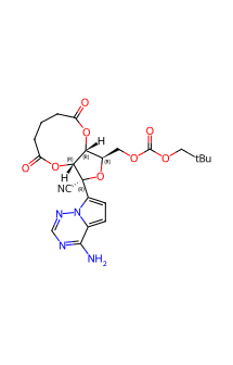 CC(C)(C)COC(=O)OC[C@H]1O[C@@](C#N)(c2ccc3c(N)ncnn23)[C@@H]2OC(=O)CCCC(=O)O[C@@H]21